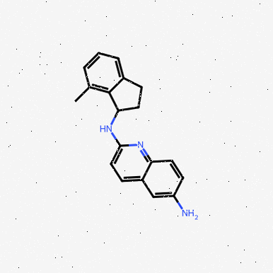 Cc1cccc2c1C(Nc1ccc3cc(N)ccc3n1)CC2